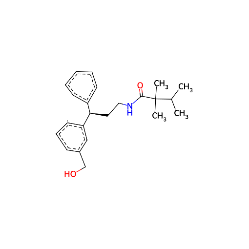 CC(C)C(C)(C)C(=O)NCC[C@@H](c1[c]ccc(CO)c1)c1ccccc1